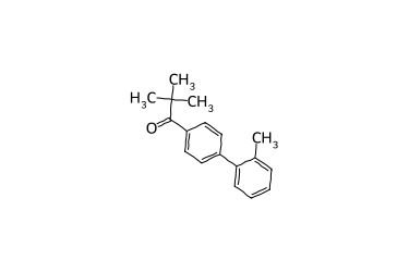 Cc1ccccc1-c1ccc(C(=O)C(C)(C)C)cc1